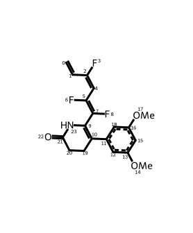 C=C/C(F)=C\C(F)=C(/F)C1=C(c2cc(OC)cc(OC)c2)CCC(=O)N1